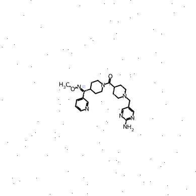 CO/N=C(\c1cccnc1)C1CCN(C(=O)C2CCN(Cc3cnc(N)nc3)CC2)CC1